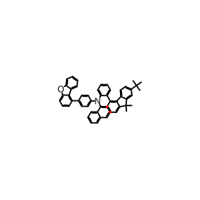 CC(C)(C)c1ccc2c(c1)C(C)(C)c1cccc(-c3ccccc3N(c3ccc(-c4cccc5oc6ccccc6c45)cc3)c3cccc4ccccc34)c1-2